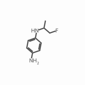 CC(CF)Nc1ccc(N)cc1